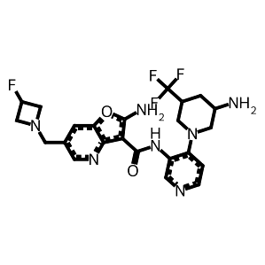 Nc1oc2cc(CN3CC(F)C3)cnc2c1C(=O)Nc1cnccc1N1CC(N)CC(C(F)(F)F)C1